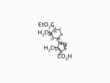 CCOC(=O)[C@@H]1CC[C@H](n2ncc(C(=O)O)c2C)C[C@H]1C